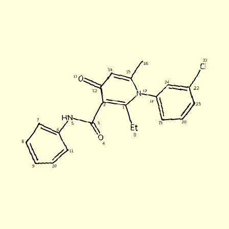 CCc1c(C(=O)Nc2ccccc2)c(=O)cc(C)n1-c1cccc(Cl)c1